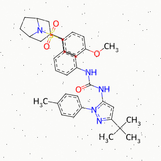 COc1ccc(S(=O)(=O)N2C3CCC2CC(Cc2cccc(NC(=O)Nc4cc(C(C)(C)C)nn4-c4ccc(C)cc4)c2)C3)cc1